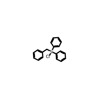 Cl[Si](Cc1ccccc1)(c1ccccc1)c1ccccc1